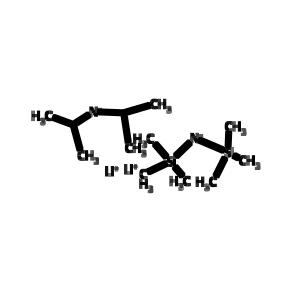 CC(C)[N-]C(C)C.C[Si](C)(C)[N-][Si](C)(C)C.[Li+].[Li+]